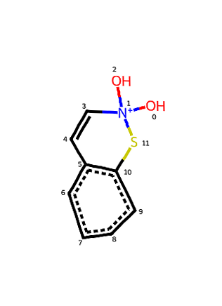 O[N+]1(O)C=Cc2ccccc2S1